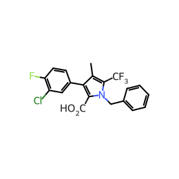 Cc1c(-c2ccc(F)c(Cl)c2)c(C(=O)O)n(Cc2ccccc2)c1C(F)(F)F